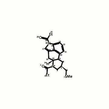 CCC(=O)N1C[C@H](CSC)CC2c3cccc4c3c(cn4C(=O)CC)C[C@H]21